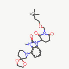 Cn1c(=O)n(C2CCC(=O)N(COCC[Si](C)(C)C)C2=O)c2cccc(N3CCCC4(C3)OCCO4)c21